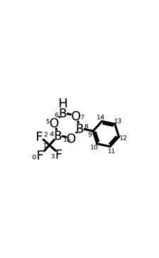 FC(F)(F)B1OBOB(c2ccccc2)O1